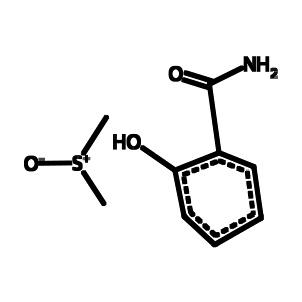 C[S+](C)[O-].NC(=O)c1ccccc1O